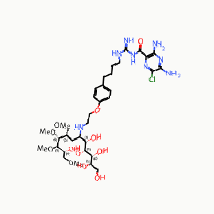 COC[C@@H](O)[C@@H](OC)[C@H](OC)[C@H](CC(NCCOc1ccc(CCCCNC(=N)NC(=O)c2nc(Cl)c(N)nc2N)cc1)[C@H](O)[C@@H](O)[C@H](O)[C@H](O)CO)OC